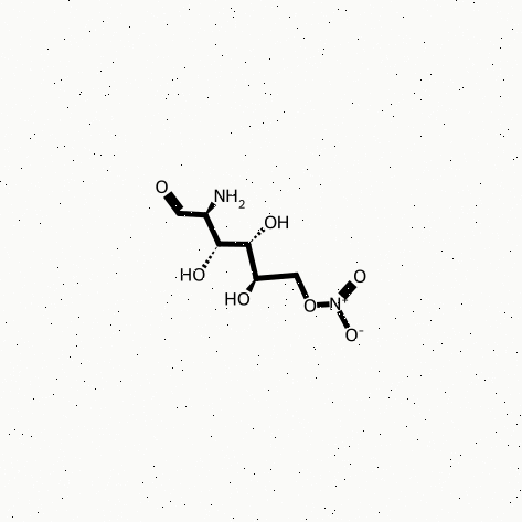 N[C@H](C=O)[C@@H](O)[C@H](O)[C@H](O)CO[N+](=O)[O-]